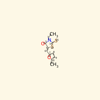 CCN1C(=O)/C(=C/c2ccc(C)o2)SC1=S